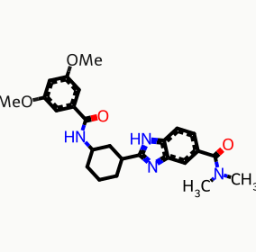 COc1cc(OC)cc(C(=O)NC2CCCC(c3nc4cc(C(=O)N(C)C)ccc4[nH]3)C2)c1